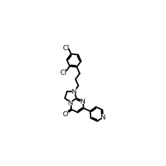 O=c1cc(-c2ccncc2)nc2n1CCN2CCCc1ccc(Cl)cc1Cl